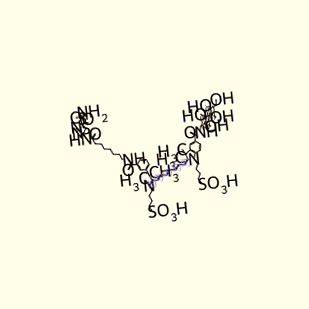 CC(C)(C(/C=C/C=C/C=C/C=C1/N(CCCCS(=O)(=O)O)c2ccc(C(=O)NC[C@H](O)[C@@H](O)[C@H](O)[C@H](O)CO)cc2C1(C)C)=N/CCCCS(=O)(=O)O)c1cccc(C(=O)NCCCCCCCC(=O)Nc2nnc(S(N)(=O)=O)s2)c1